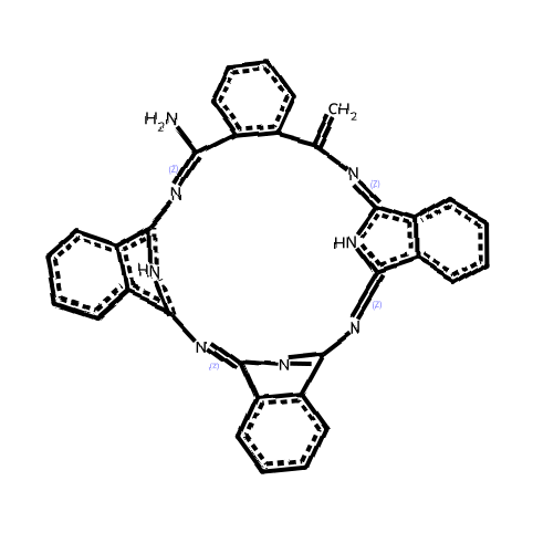 C=C1/N=c2\[nH]/c(c3ccccc23)=N\C2=NC(=N\c3[nH]c(c4ccccc34)/N=C(\N)c3ccccc31)/c1ccccc12